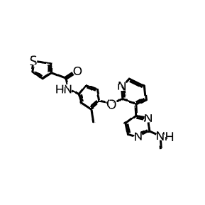 CNc1nccc(-c2cccnc2Oc2ccc(NC(=O)c3ccsc3)cc2C)n1